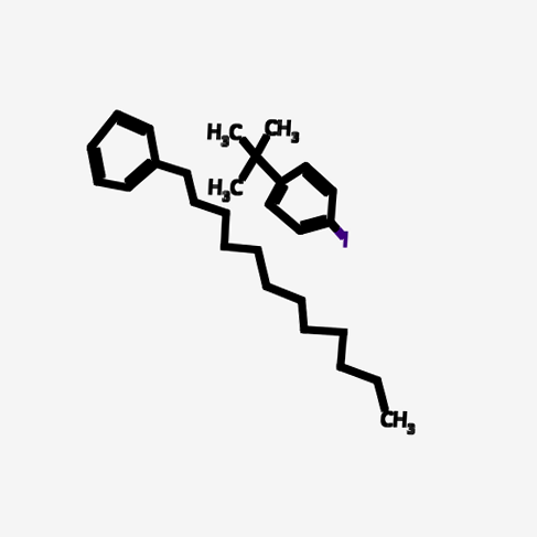 CC(C)(C)c1ccc(I)cc1.CCCCCCCCCCCCc1ccccc1